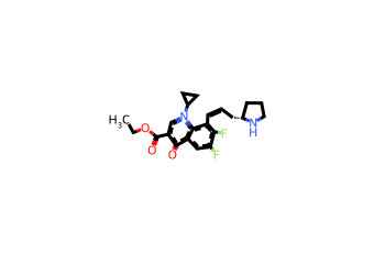 CCOC(=O)c1cn(C2CC2)c2c(/C=C\C[C@@H]3CCCN3)c(F)c(F)cc2c1=O